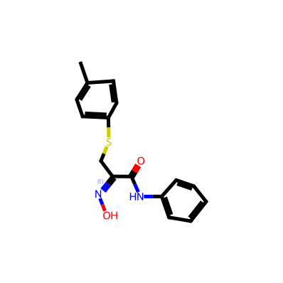 Cc1ccc(SC/C(=N/O)C(=O)Nc2ccccc2)cc1